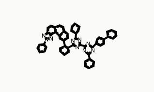 c1ccc(-c2ccc(-c3nc(-c4ccccc4)nc(-c4nc(-c5ccccc5)nc(-c5ccccc5-c5ccc6ccc7ccc8nn(-c9ccccc9)nc8c7c6c5)n4)n3)cc2)cc1